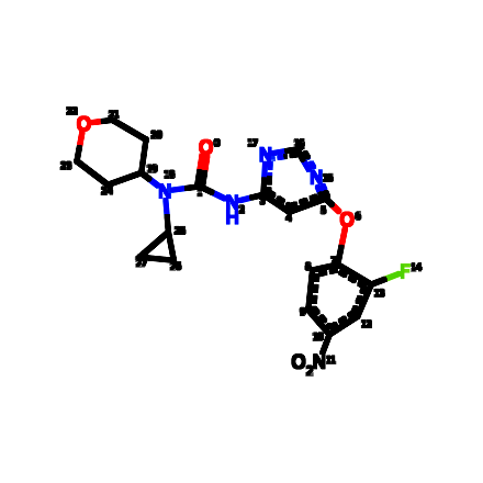 O=C(Nc1cc(Oc2ccc([N+](=O)[O-])cc2F)ncn1)N(C1CCOCC1)C1CC1